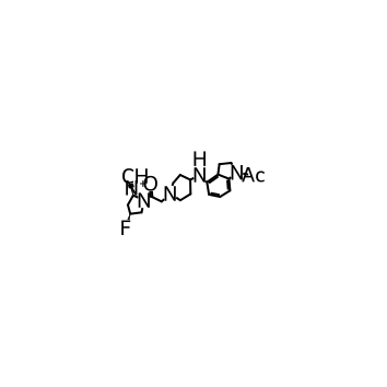 C#[N+][C@@H]1C[C@H](F)CN1C(=O)CN1CCC(Nc2cccc3c2CCN3C(C)=O)CC1